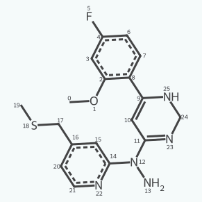 COc1cc(F)ccc1C1=CC(N(N)c2cc(CSC)ccn2)=NCN1